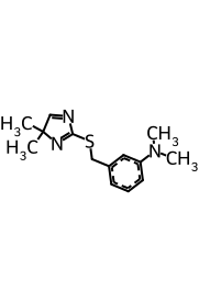 CN(C)c1cccc(CSC2=NC(C)(C)C=N2)c1